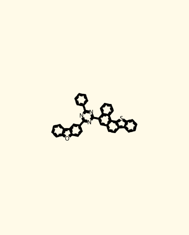 c1ccc(-c2nc(-c3ccc4oc5ccccc5c4c3)nc(-c3cc4ccc5c6ccccc6sc5c4c4ccccc34)n2)cc1